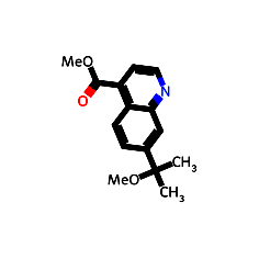 COC(=O)c1ccnc2cc(C(C)(C)OC)ccc12